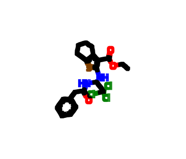 CCOC(=O)c1c(NC(NC(=O)Cc2ccccc2)C(Cl)(Cl)Cl)sc2c1CCCC2